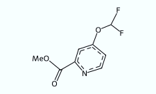 COC(=O)c1cc(OC(F)F)ccn1